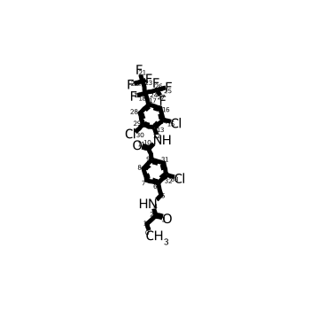 CCC(=O)NCc1ccc(C(=O)Nc2c(Cl)cc(C(F)(C(F)(F)F)C(F)(F)F)cc2Cl)cc1Cl